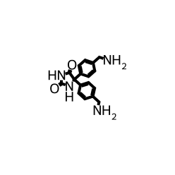 NCc1ccc(C2(c3ccc(CN)cc3)NC(=O)NC2=O)cc1